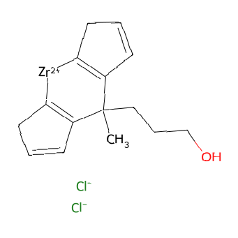 CC1(CCCO)C2=[C](CC=C2)[Zr+2][C]2=C1C=CC2.[Cl-].[Cl-]